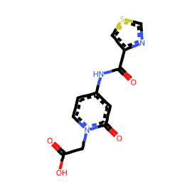 O=C(O)Cn1ccc(NC(=O)c2cscn2)cc1=O